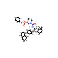 CC(C)CN(CCC(=O)OCc1ccccc1)C(=O)N[C@H](C(=O)O)C(Cc1ccccc1)c1ccc(-c2cccc3ccccc23)cc1